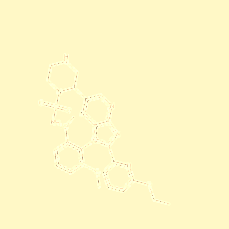 CCOc1cccc(-c2nc3ncc(C4CNCCN4S(N)(=O)=O)nc3n2-c2c(OC)cccc2OC)n1